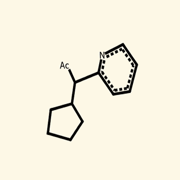 CC(=O)C(c1ccccn1)C1CCCC1